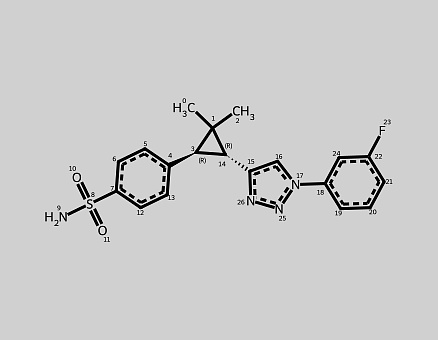 CC1(C)[C@H](c2ccc(S(N)(=O)=O)cc2)[C@H]1c1cn(-c2cccc(F)c2)nn1